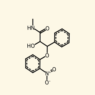 CNC(=O)C(O)C(Oc1ccccc1[N+](=O)[O-])c1ccccc1